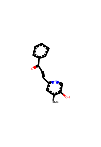 COc1cc(/C=C/C(=O)c2ccccc2)ncc1O